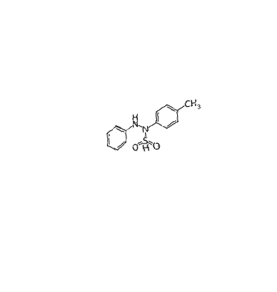 Cc1ccc(N(Nc2ccccc2)[SH](=O)=O)cc1